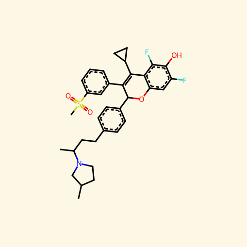 CC1CCN(C(C)CCc2ccc(C3Oc4cc(F)c(O)c(F)c4C(C4CC4)=C3c3cccc(S(C)(=O)=O)c3)cc2)C1